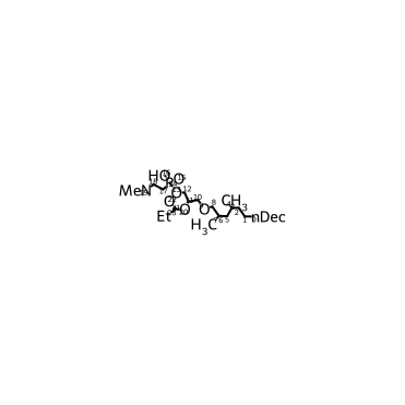 CCCCCCCCCCCCC(C)CC(C)COCC(COP(=O)(O)CCNC)OC(=O)CC